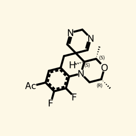 CC(=O)c1cc2c(c(F)c1F)N1C[C@@H](C)O[C@@H](C)[C@@H]1C1(C=NCN=C1)C2